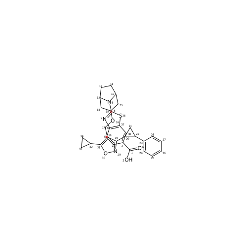 O=C(O)c1ccc2nc(N3C4CCC3CC(OCc3c(C5CC5c5ccccc5)noc3C3CC3)C4)sc2c1